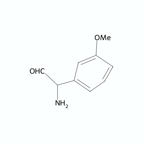 COc1cccc(C(N)C=O)c1